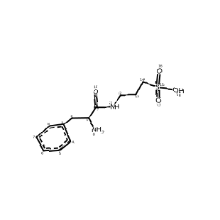 NC(Cc1ccccc1)C(=O)NCCCS(=O)(=O)O